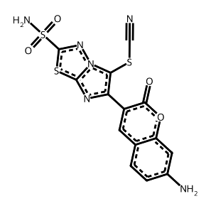 N#CSc1c(-c2cc3ccc(N)cc3oc2=O)nc2sc(S(N)(=O)=O)nn12